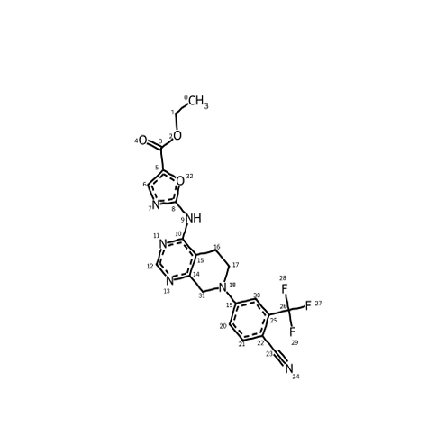 CCOC(=O)c1cnc(Nc2ncnc3c2CCN(c2ccc(C#N)c(C(F)(F)F)c2)C3)o1